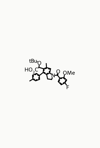 COc1cc(F)ccc1C(=O)N1CCc2c1cc(C)c(C(OC(C)(C)C)C(=O)O)c2-c1ccc(C)cc1